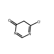 O=C1CC(Cl)=NC=N1